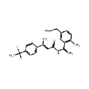 C=C(NC(=O)/C=C(\C)c1ccc(C(C)(F)F)cc1)c1cc(COC)ccc1C